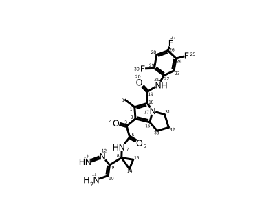 Cc1c(C(=O)C(=O)NC2(/C(=C/N)N=N)CC2)c2n(c1C(=O)Nc1cc(F)c(F)cc1F)CCC2